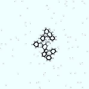 CC1Cc2c(c3ccccc3n2-c2ccccc2-c2ccccc2)C=C1N(c1ccccc1)c1ccc2c(c1)C1=c3ccccc3=CC3=CC=CC2C31